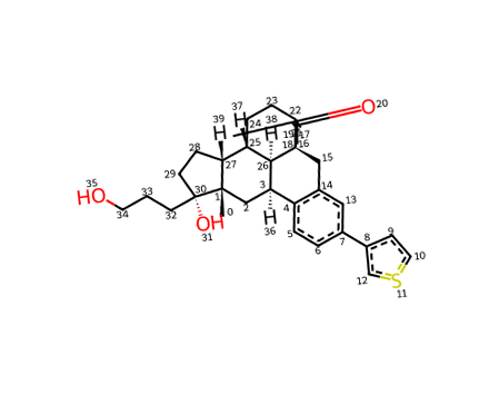 C[C@]12C[C@@H]3c4ccc(-c5ccsc5)cc4C[C@]45CCC(=O)C=C4CC[C@H]([C@H]35)[C@H]1CC[C@]2(O)CCCO